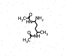 CC(=O)NC(C)CCC(N)NC(C)=O